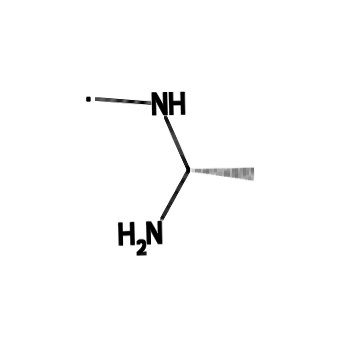 [CH2]N[C@H](C)N